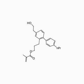 C=C(C)C(=O)OCCCc1cc(CCO)ccc1-c1ccc(CCC)cc1